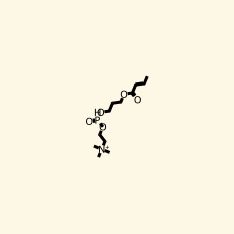 CC=CC(=O)OCCCO[PH](=O)OCC[N+](C)(C)C